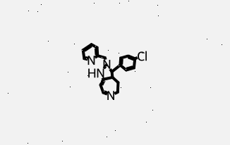 Clc1ccc(C2C3CCN=CC=C3NN2Cc2ccccn2)cc1